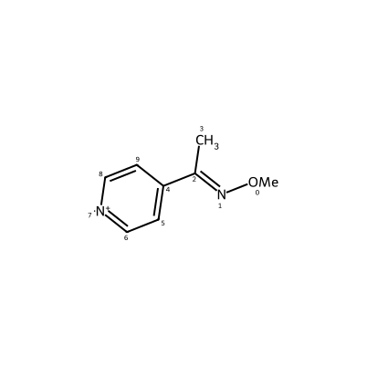 CO/N=C(\C)C1=CC=[N+]C=C1